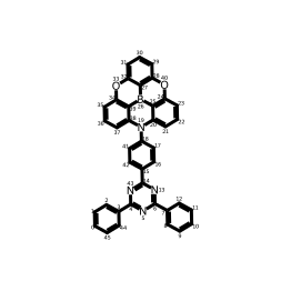 c1ccc(-c2nc(-c3ccccc3)nc(-c3ccc(N4c5cccc6c5B5c7c(cccc7Oc7cccc4c75)O6)cc3)n2)cc1